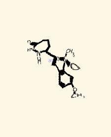 COc1ccc(/C=C/C2CCC(=O)NN2)c(S(C)(=O)=O)c1